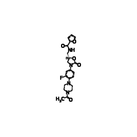 CC(=O)N1CCN(c2ccc(N3C[C@H](CNC(=O)c4ccco4)OC3=O)cc2F)CC1